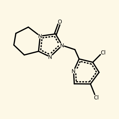 O=c1n(Cc2ncc(Cl)cc2Cl)nc2n1CCCC2